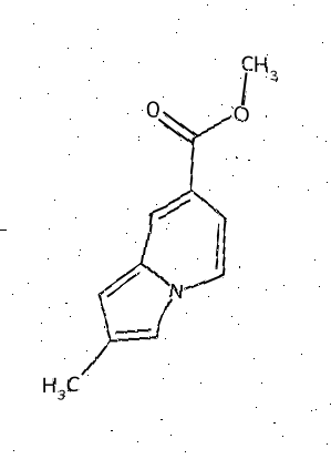 COC(=O)c1ccn2cc(C)cc2c1